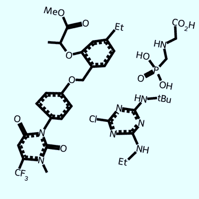 CCNc1nc(Cl)nc(NC(C)(C)C)n1.CCc1ccc(COc2ccc(-n3c(=O)cc(C(F)(F)F)n(C)c3=O)cc2)c(OC(C)C(=O)OC)c1.O=C(O)CNCP(=O)(O)O